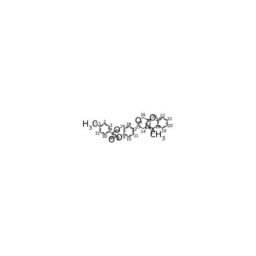 Cc1ccc(S(=O)(=O)Oc2ccc([C@H]3CN([C@H](C)c4ccccc4)C(=O)CO3)cc2)cc1